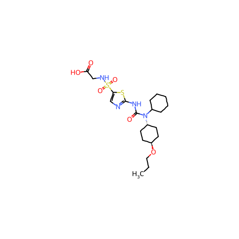 CCCO[C@H]1CC[C@H](N(C(=O)Nc2ncc(S(=O)(=O)NCC(=O)O)s2)C2CCCCC2)CC1